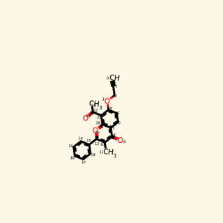 C#CCOc1ccc2c(=O)c(C)c(-c3ccccc3)oc2c1C(C)=O